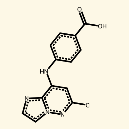 O=C(O)c1ccc(Nc2cc(Cl)nn3ccnc23)cc1